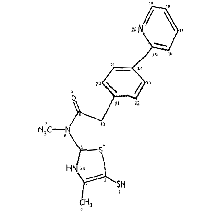 CC1=C(S)SC(N(C)C(=O)Cc2ccc(-c3ccccn3)cc2)N1